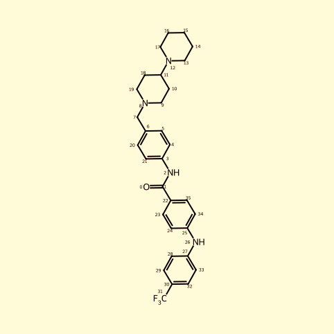 O=C(Nc1ccc(CN2CCC(N3CCCCC3)CC2)cc1)c1ccc(Nc2ccc(C(F)(F)F)cc2)cc1